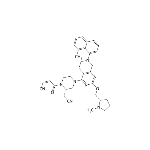 Cc1cccc2cccc(N3CCc4c(nc(OC[C@@H]5CCCN5C)nc4N4CCN(C(=O)/C=C\C#N)[C@@H](CC#N)C4)C3)c12